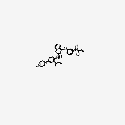 C=CC(=O)Nc1cccc(Oc2nc(Nc3ccc(N4CCN(C)CC4)cc3C(C)CC)nc3ccsc23)c1